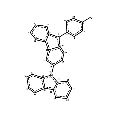 Cc1ccc(-n2c3ccccc3c3cc(-n4c5ccccc5c5ccccc54)ccc32)cc1